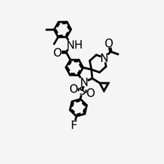 CC(=O)N1CCC2(CC1)c1cc(C(=O)Nc3cccc(C)c3C)ccc1N(S(=O)(=O)c1ccc(F)cc1)C2C1CC1